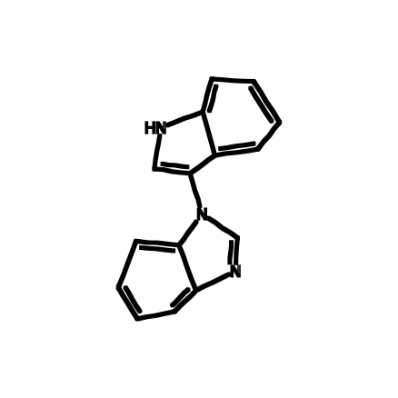 c1ccc2c(c1)ncn2-c1c[nH]c2ccccc12